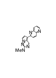 CNc1ncc2c(-c3ccc4ncccc4n3)ccn2n1